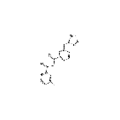 Cc1ccnc(C(=O)CC(=O)c2cccc(Cn3ncnn3)c2)c1